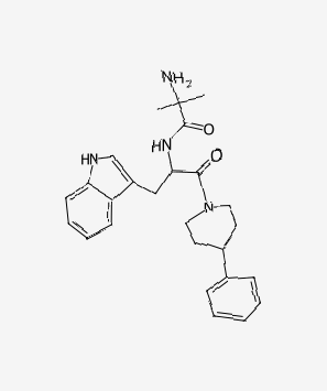 CC(C)(N)C(=O)NC(Cc1c[nH]c2ccccc12)C(=O)N1CCC(c2ccccc2)CC1